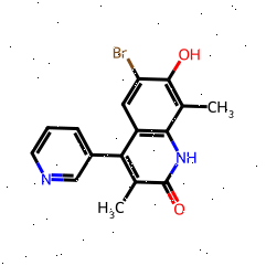 Cc1c(-c2cccnc2)c2cc(Br)c(O)c(C)c2[nH]c1=O